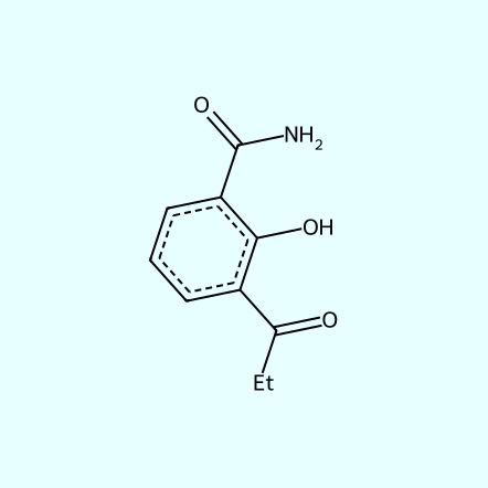 CCC(=O)c1cccc(C(N)=O)c1O